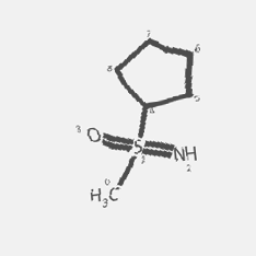 CS(=N)(=O)C1CCCC1